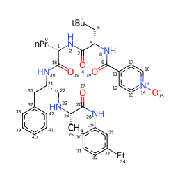 CCC[C@H](NC(=O)[C@H](CC(C)(C)C)NC(=O)c1cc[n+]([O-])cc1)C(=O)N[C@H](CN[C@@H](C)C(=O)Nc1cccc(CC)c1)Cc1ccccc1